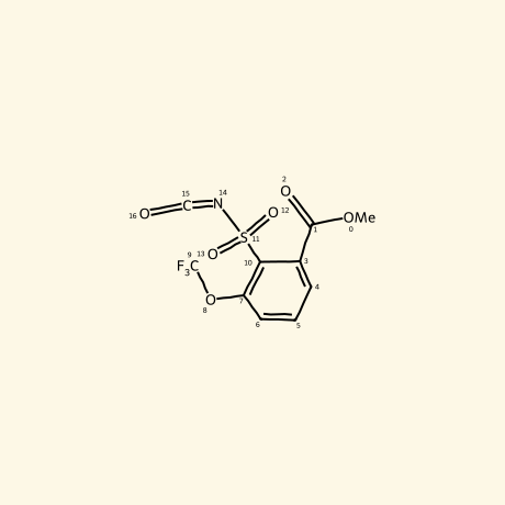 COC(=O)c1cccc(OC(F)(F)F)c1S(=O)(=O)N=C=O